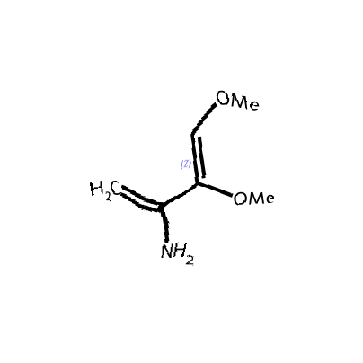 C=C(N)/C(=C/OC)OC